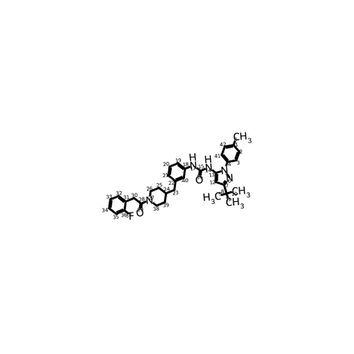 Cc1ccc(-n2nc(C(C)(C)C)cc2NC(=O)Nc2cccc(CC3CCN(C(=O)Cc4ccccc4F)CC3)c2)cc1